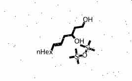 CCCCCCC=CCC(O)CCO.C[Si](C)(C)O[Si](C)(C)C